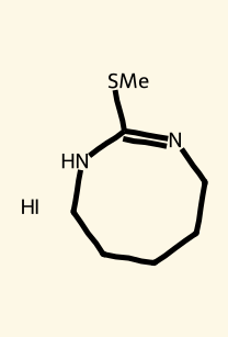 CS/C1=N/CCCCCN1.I